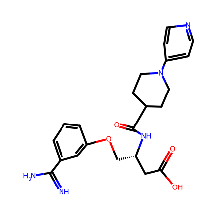 N=C(N)c1cccc(OC[C@@H](CC(=O)O)NC(=O)C2CCN(c3ccncc3)CC2)c1